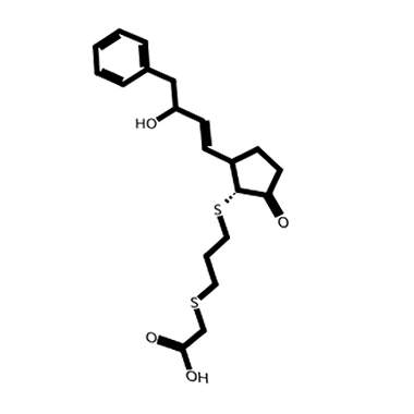 O=C(O)CSCCCS[C@H]1C(=O)CCC1C=CC(O)Cc1ccccc1